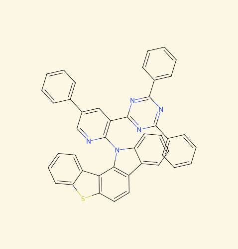 c1ccc(-c2cnc(-n3c4ccccc4c4ccc5sc6ccccc6c5c43)c(-c3nc(-c4ccccc4)nc(-c4ccccc4)n3)c2)cc1